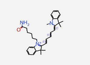 CN1\C(=C/C=C/C=C/C2=[N+](CCCCCC(N)=O)c3ccccc3C2(C)C)C(C)(C)c2ccccc21